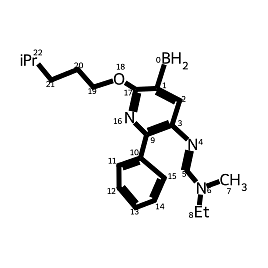 Bc1cc(/N=C/N(C)CC)c(-c2ccccc2)nc1OCCCC(C)C